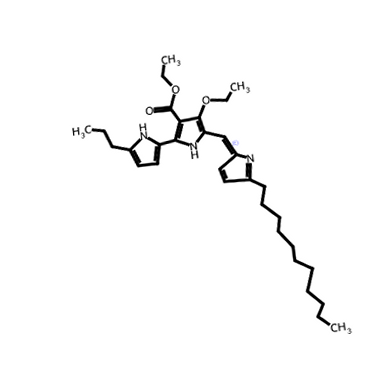 CCCCCCCCCCCC1=N/C(=C/c2[nH]c(-c3ccc(CCC)[nH]3)c(C(=O)OCC)c2OCC)C=C1